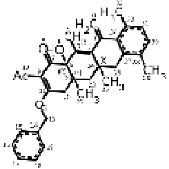 C=C1C2=C(C)[C@@]3(O)C(=O)C(C(C)=O)=C(OCc4ccccc4)C[C@@]3(C)C[C@@]2(C)Cc2c(C)ccc(C)c21